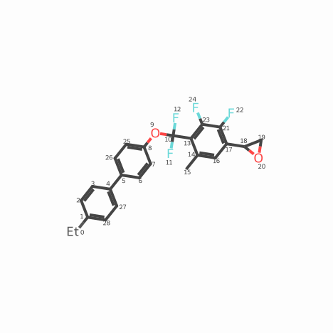 CCc1ccc(-c2ccc(OC(F)(F)c3c(C)cc(C4CO4)c(F)c3F)cc2)cc1